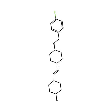 C[C@H]1CC[C@H](C=C[C@H]2CC[C@H](CCc3ccc(F)cc3)CC2)CC1